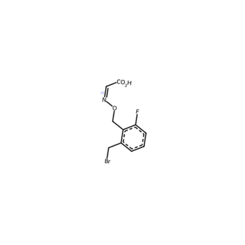 O=C(O)/C=N\OCc1c(F)cccc1CBr